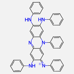 c1ccc(/N=c2\cc3n(-c4ccccc4)c4cc(Nc5ccccc5)c(Nc5ccccc5)cc4nc-3cc2Nc2ccccc2)cc1